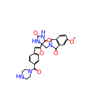 COc1ccc2c(c1)C(=O)N(C[C@@]1(c3cc4ccc(C(=O)N5CCNCC5)cc4o3)NC(=O)NC1=O)C2